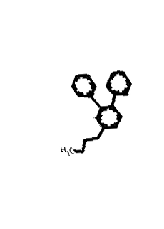 CCCCc1[c]c(-c2ccccc2)c(-c2ccccc2)cc1